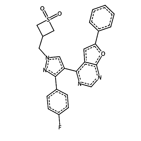 O=S1(=O)CC(Cn2cc(-c3ncnc4oc(-c5ccccc5)cc34)c(-c3ccc(F)cc3)n2)C1